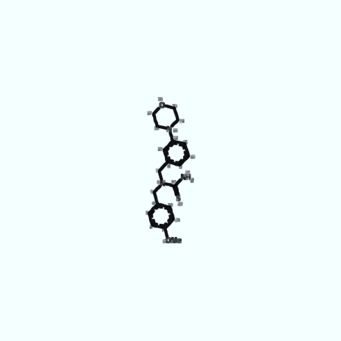 COc1ccc(CN(Cc2cccc(N3CCOCC3)c2)C(N)=S)cc1